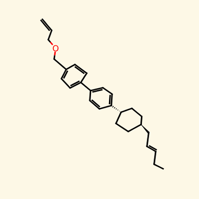 C=CCOCc1ccc(-c2ccc([C@H]3CC[C@H](CC=CCC)CC3)cc2)cc1